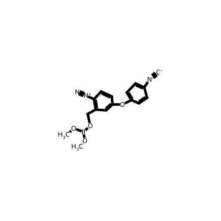 [C-]#[N+]c1ccc(Oc2ccc([N+]#N)c(COB(OC)OC)c2)cc1